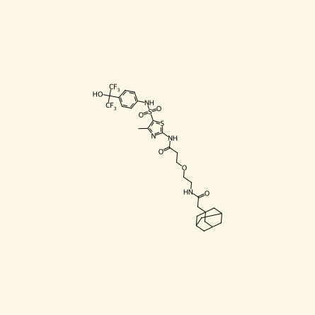 Cc1nc(NC(=O)CCOCCNC(=O)CC23CC4CC(CC(C4)C2)C3)sc1S(=O)(=O)Nc1ccc(C(O)(C(F)(F)F)C(F)(F)F)cc1